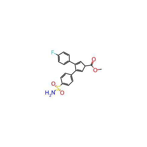 COC(=O)C1C=C(c2ccc(F)cc2)C(c2ccc(S(N)(=O)=O)cc2)=C1